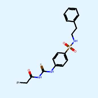 CC(C)CC(=O)NC(=S)Nc1ccc(S(=O)(=O)NCCc2ccccc2)cc1